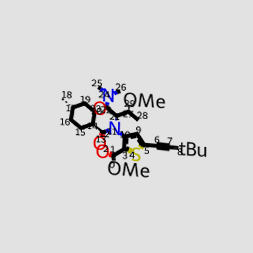 COC(=O)c1sc(C#CC(C)(C)C)cc1N(C(=O)[C@H]1CC[C@H](C)CC1)[C@H](C(=O)N(C)C)[C@@H](C)OC